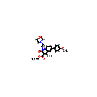 CCOC(=O)c1c(O)c2cc(-c3ccc(OC)cc3)ccc2n(CCN2CCOCC2)c1=O